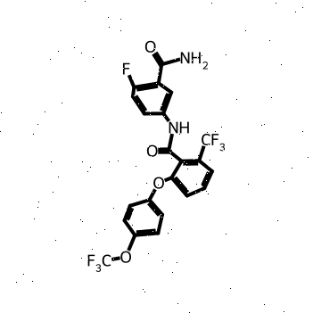 NC(=O)c1cc(NC(=O)c2c(Oc3ccc(OC(F)(F)F)cc3)cccc2C(F)(F)F)ccc1F